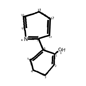 OC1=CCCC=C1C1=NC=CCC=C1